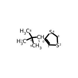 C1=CSCS1.CC(C)(C)C